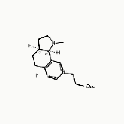 CCCCCCCCCCCC[n+]1ccc2c(c1)[C@H]1[C@@H](CC2)CCN1C.[I-]